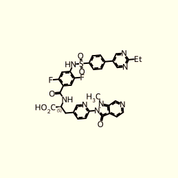 CCc1ncc(-c2ccc(S(=O)(=O)Nc3cc(F)c(C(=O)N[C@@H](Cc4ccc(-n5c(=O)c6ccncc6n5C)nc4)C(=O)O)cc3F)cc2)cn1